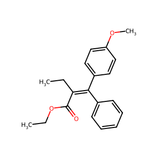 CCOC(=O)/C(CC)=C(\c1ccccc1)c1ccc(OC)cc1